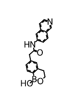 O=C(Cc1ccc2c(c1)CCOB2O)Nc1ccc2cnccc2c1